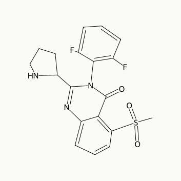 CS(=O)(=O)c1cccc2nc(C3CCCN3)n(-c3c(F)cccc3F)c(=O)c12